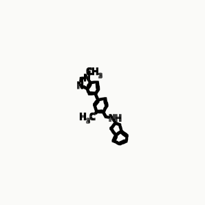 Cc1cc(-c2ccc3c(c2)ncn3C)ccc1CNC1Cc2ccccc2C1